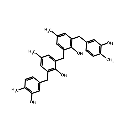 Cc1cc(Cc2ccc(C)c(O)c2)c(O)c(Cc2cc(C)cc(Cc3ccc(C)c(O)c3)c2O)c1